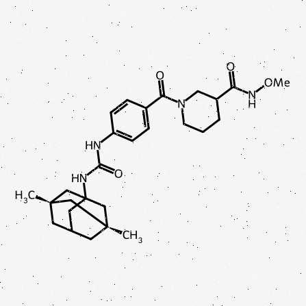 CONC(=O)C1CCCN(C(=O)c2ccc(NC(=O)NC34CC5C[C@@](C)(C3)C[C@](C)(C5)C4)cc2)C1